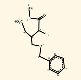 CCC(C)OC(=O)C(F)C(COCc1ccccc1)CC(=O)O